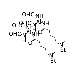 CCN(C)CCCCC(=O)[NH][Al]([NH]C=O)[NH]C=O.CCN(C)CCCCC(=O)[NH][Al]([NH]C=O)[NH]C=O